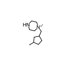 CC1CCC(C[N+]2(C)CCNCC2)C1